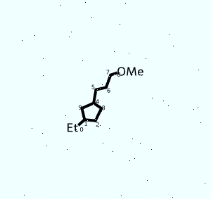 [CH2]CC1C[CH]C(CCCOC)C1